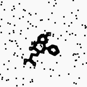 COC(=O)CCC1N=C(c2ccccc2)c2cc(Cl)ccc2NC1=O